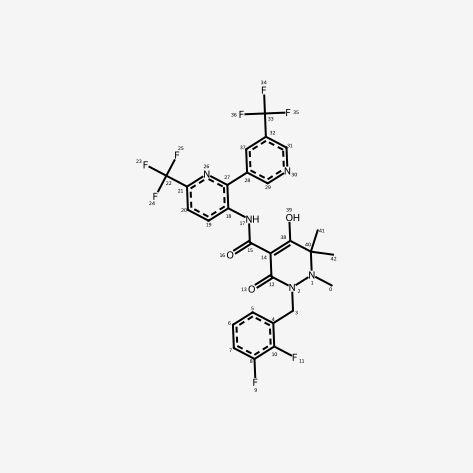 CN1N(Cc2cccc(F)c2F)C(=O)C(C(=O)Nc2ccc(C(F)(F)F)nc2-c2cncc(C(F)(F)F)c2)=C(O)C1(C)C